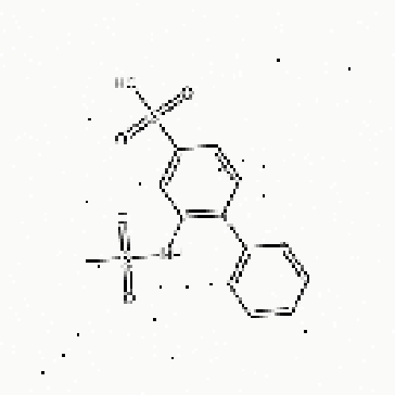 CS(=O)(=O)Nc1cc(S(=O)(=O)O)ccc1-c1ccccc1